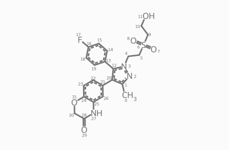 Cc1nn(CCS(=O)(=O)CCO)c(-c2ccc(F)cc2)c1-c1ccc2c(c1)NC(=O)CO2